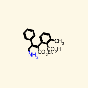 CCOC(=O)C(=C(CN)c1ccccc1)c1cccc(C)c1C(=O)O